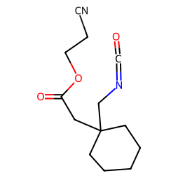 N#CCCOC(=O)CC1(CN=C=O)CCCCC1